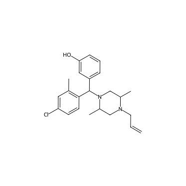 C=CCN1CC(C)N(C(c2cccc(O)c2)c2ccc(Cl)cc2C)CC1C